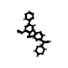 O=Cc1cc(-c2ccccc2)nc2c1[nH]c1cc(C(=O)N3CCOCC3)ccc12